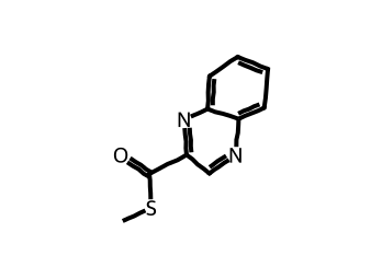 CSC(=O)c1cnc2ccccc2n1